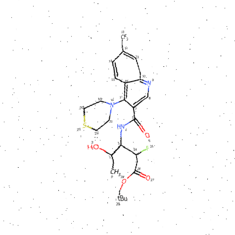 CC(O)C(NC(=O)c1cnc2cc(C(F)(F)F)ccc2c1N1CCSCC1)C(F)C(=O)OC(C)(C)C